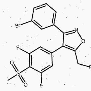 CS(=O)(=O)c1c(F)cc(-c2c(-c3cccc(Br)c3)noc2CF)cc1F